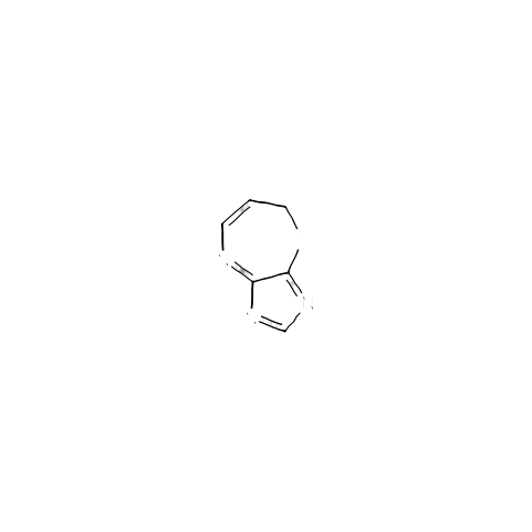 C1=CN=C2N=CN=C2SC1